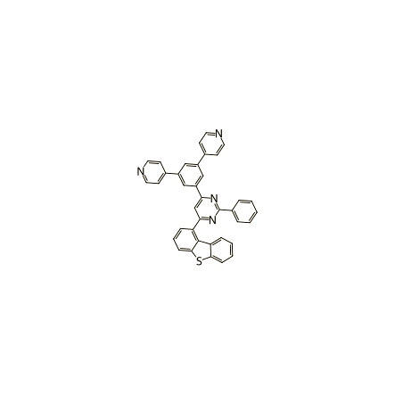 c1ccc(-c2nc(-c3cc(-c4ccncc4)cc(-c4ccncc4)c3)cc(-c3cccc4sc5ccccc5c34)n2)cc1